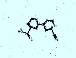 N#Cc1cc(-c2cccc(C(=O)O)c2)ccn1